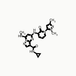 CNc1cc(Nc2cccn(-c3cc(C)nn3C)c2=O)nc2c(C(=O)NC3CC3)cnn12